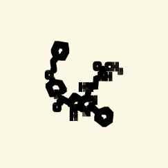 CC(=O)NCCNc1nc(-c2ccccc2)nc2[nH]c(C(=O)N3CCC(OCCc4ccccc4)CC3)cc12